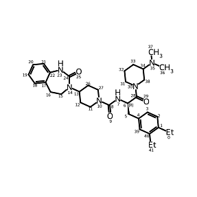 CCc1ccc(C[C@@H](NC(=O)N2CCC(N3CCc4ccccc4NC3=O)CC2)C(=O)N2CCCC(N(C)C)C2)cc1CC